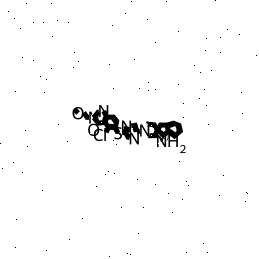 COCCn1cnc2ccc(Sc3cnc(N4CCC5(CC4)Cc4ccccc4[C@H]5N)cn3)c(Cl)c2c1=O